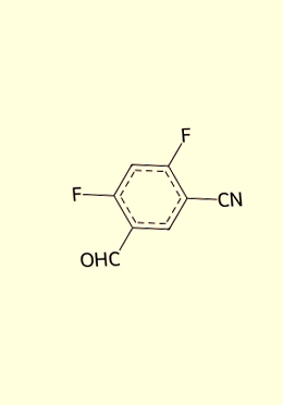 N#Cc1cc(C=O)c(F)cc1F